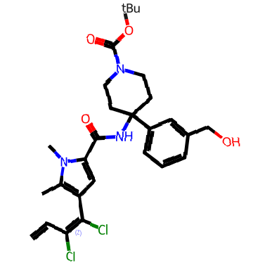 C=C/C(Cl)=C(/Cl)c1cc(C(=O)NC2(c3cccc(CO)c3)CCN(C(=O)OC(C)(C)C)CC2)n(C)c1C